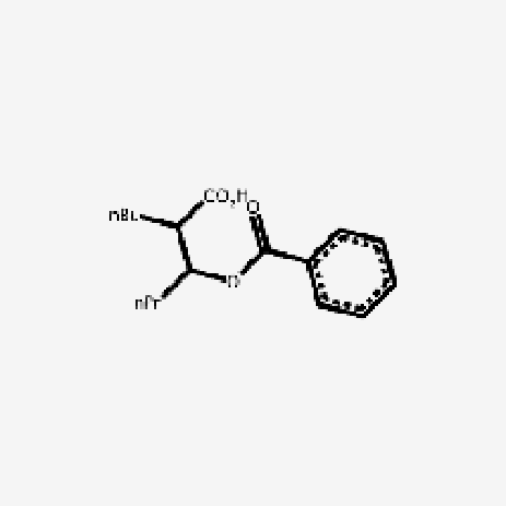 CCCCC(C(=O)O)C(CCC)OC(=O)c1ccccc1